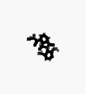 Cc1cccc(C(C)C)c1N1C(=O)c2cccc(C(=O)NC(C)C)c2C1=O